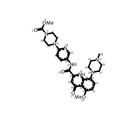 COC(=O)N1CCN(c2ccc(NC(=O)c3cc(=O)c4c(OC)ccc(N5CCN(C)CC5)c4[nH]3)cn2)CC1